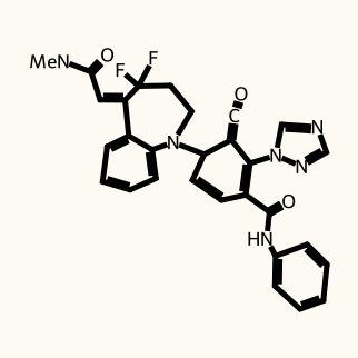 CNC(=O)C=C1c2ccccc2N(C2C=CC(C(=O)Nc3ccccc3)=C(n3cncn3)C2=C=O)CCC1(F)F